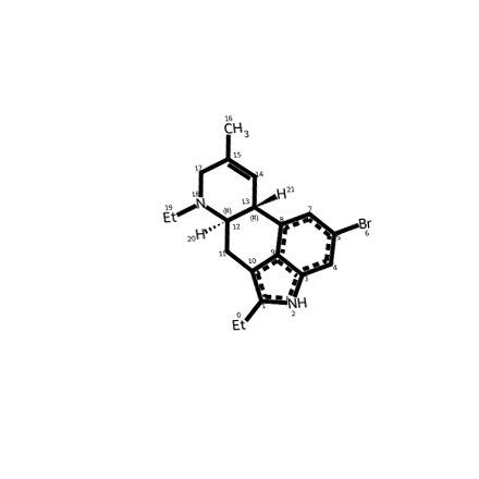 CCc1[nH]c2cc(Br)cc3c2c1C[C@@H]1[C@@H]3C=C(C)CN1CC